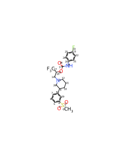 CS(=O)(=O)c1cccc(C2CCCN(C[C@H](OC(=O)Nc3ccc(F)cc3)C(F)(F)F)C2)c1